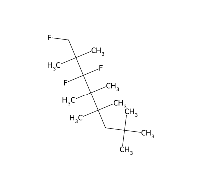 CC(C)(C)CC(C)(C)C(C)(C)C(F)(F)C(C)(C)CF